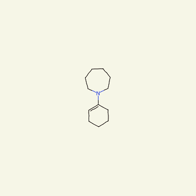 C1=C(N2CCCCCC2)CCCC1